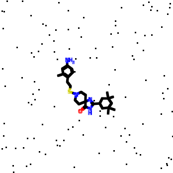 Cc1cc(N)ccc1CCSN1CCC2(CC1)N=C(C1CC(C)(C)CC(C)(C)C1)NC2=O